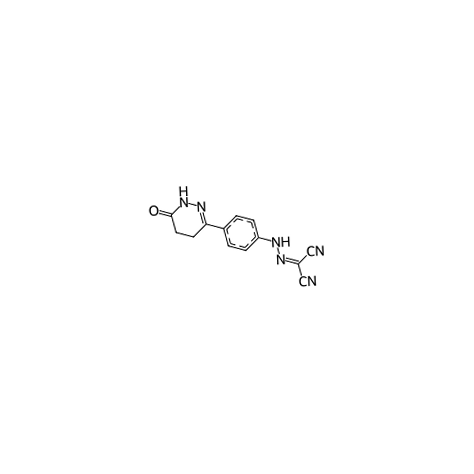 N#CC(C#N)=NNc1ccc(C2=NNC(=O)CC2)cc1